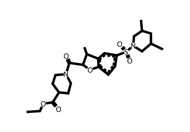 CCOC(=O)C1CCN(C(=O)C2Oc3ccc(S(=O)(=O)N4CC(C)CC(C)C4)cc3C2C)CC1